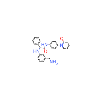 NCc1cccc(N[C@H](C(=O)Nc2ccc(-n3ccccc3=O)cc2)c2ccccc2)c1